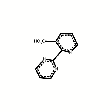 O=C(O)c1cccnc1-c1ncccn1